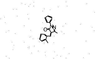 CC1=NN(c2ccccc2)C(=O)C1=Cc1ccccc1C